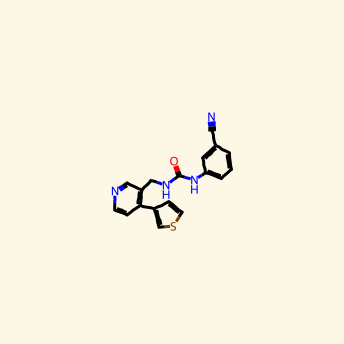 N#Cc1cccc(NC(=O)NCc2cnccc2-c2ccsc2)c1